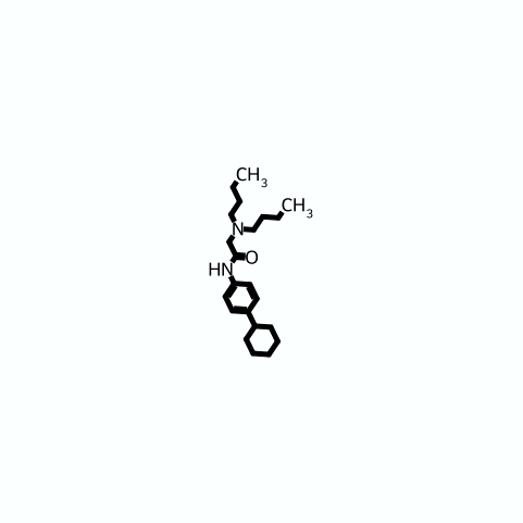 CCCCN(CCCC)CC(=O)Nc1ccc(C2CCCCC2)cc1